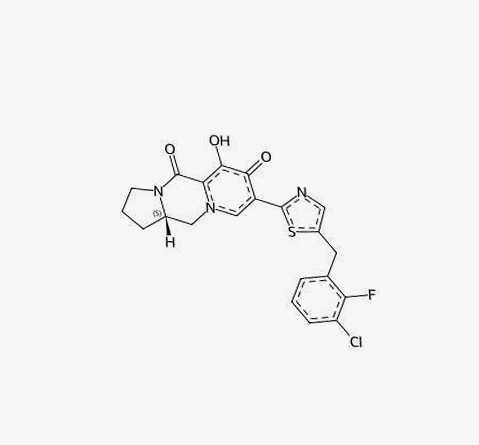 O=C1c2c(O)c(=O)c(-c3ncc(Cc4cccc(Cl)c4F)s3)cn2C[C@@H]2CCCN12